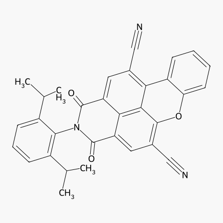 CC(C)c1cccc(C(C)C)c1-n1c(=O)c2cc(C#N)c3oc4ccccc4c4c(C#N)cc(c1=O)c2c34